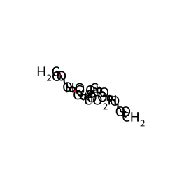 C=CC(=O)OCCCCOc1ccc(C(=O)Oc2ccc(C(=O)O)c([C@@H]3CO[C@H]4[C@@H]3OC[C@H]4c3cc(OC(=O)c4ccc(OCCCCOC(=O)C=C)cc4)ccc3C(=O)O)c2)cc1